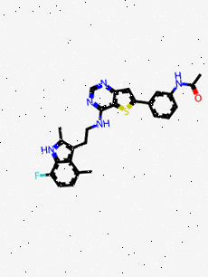 CC(=O)Nc1cccc(-c2cc3ncnc(NCCc4c(C)[nH]c5c(F)ccc(C)c45)c3s2)c1